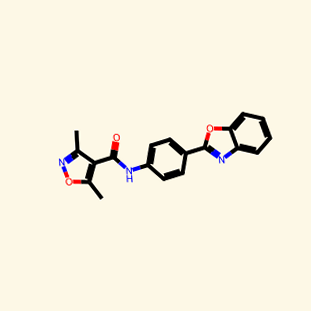 Cc1noc(C)c1C(=O)Nc1ccc(-c2nc3ccccc3o2)cc1